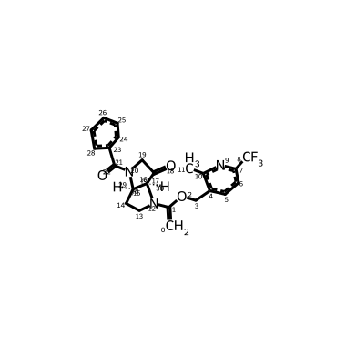 C=C(OCc1ccc(C(F)(F)F)nc1C)N1CC[C@@H]2[C@H]1C(=O)CN2C(=O)c1ccccc1